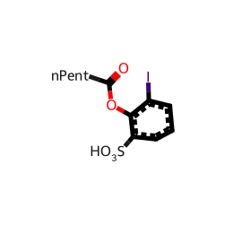 CCCCCC(=O)Oc1c(I)cccc1S(=O)(=O)O